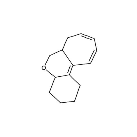 C1=CCC2COC3CCCCC3=C2C=C1